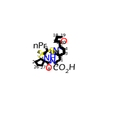 CCCC(S)C(=S)NC1(C(=O)NC(Cc2ccc(-c3ccco3)nc2)C(=O)O)CCCC1